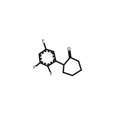 O=C1CCCCC1c1cc(F)cc(F)c1F